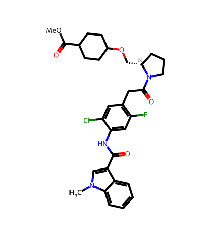 COC(=O)C1CCC(OC[C@@H]2CCCN2C(=O)Cc2cc(Cl)c(NC(=O)c3cn(C)c4ccccc34)cc2F)CC1